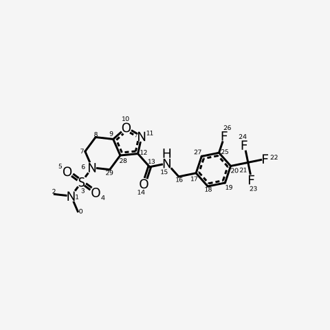 CN(C)S(=O)(=O)N1CCc2onc(C(=O)NCc3ccc(C(F)(F)F)c(F)c3)c2C1